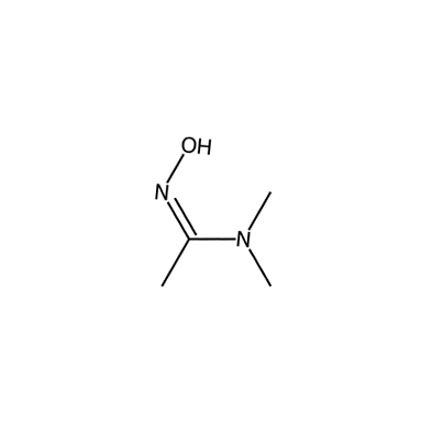 CC(=NO)N(C)C